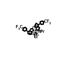 CCCC1=Cc2c(-c3ccc(C(F)(F)F)cc3)cccc2[CH]1[Zr+2]([CH]1C(CCC)=Cc2c(-c3ccc(C(F)(F)F)cc3)cccc21)[SnH]([CH3])[CH3].[Cl-].[Cl-]